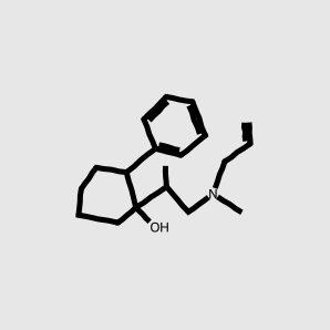 C=CCN(C)CC(C)C1(O)CCCCC1c1ccccc1